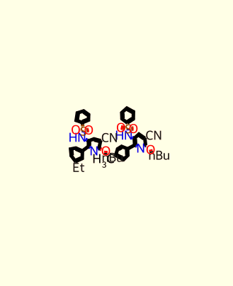 CCCCOc1nc(-c2ccc(C)cc2)c(NS(=O)(=O)c2ccccc2)cc1C#N.CCCCOc1nc(-c2cccc(CC)c2)c(NS(=O)(=O)c2ccccc2)cc1C#N